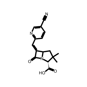 CC1(C)CC2/C(=C\c3ccc(C#N)cn3)C(=O)N2[C@H]1C(=O)O